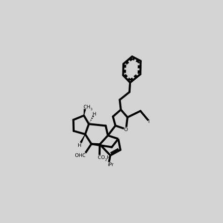 CC(C)C1=CC2CC3(C=O)[C@@H]4CC[C@@H](C)[C@H]4CC2(C2CC(CCc4ccccc4)C(CI)O2)C13C(=O)O